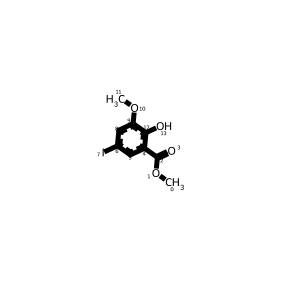 COC(=O)c1cc(I)cc(OC)c1O